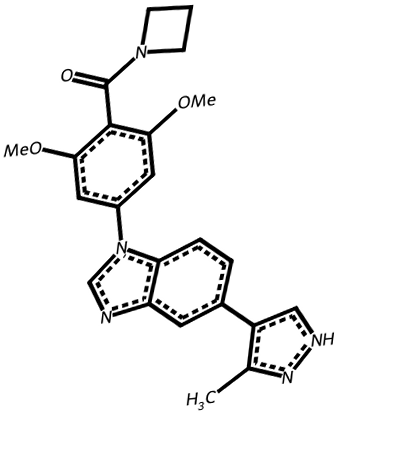 COc1cc(-n2cnc3cc(-c4c[nH]nc4C)ccc32)cc(OC)c1C(=O)N1CCC1